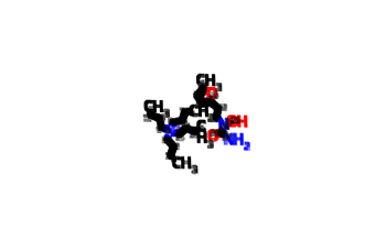 CCCC[N+](CCCC)(CCCC)CCCC.Cc1ccc(CCN(O)C(N)=O)o1